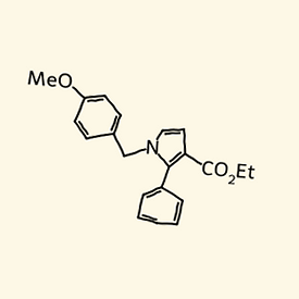 CCOC(=O)c1ccn(Cc2ccc(OC)cc2)c1-c1ccccc1